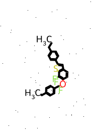 CCCc1ccc(-c2cc3ccc(OC(F)(F)c4ccc(CC)cc4)c(F)c3s2)cc1